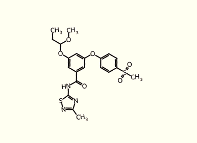 CCC(OC)Oc1cc(Oc2ccc(S(C)(=O)=O)cc2)cc(C(=O)Nc2nc(C)ns2)c1